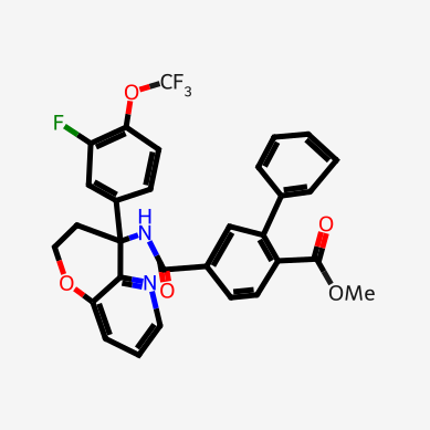 COC(=O)c1ccc(C(=O)NC2(c3ccc(OC(F)(F)F)c(F)c3)CCOc3cccnc32)cc1-c1ccccc1